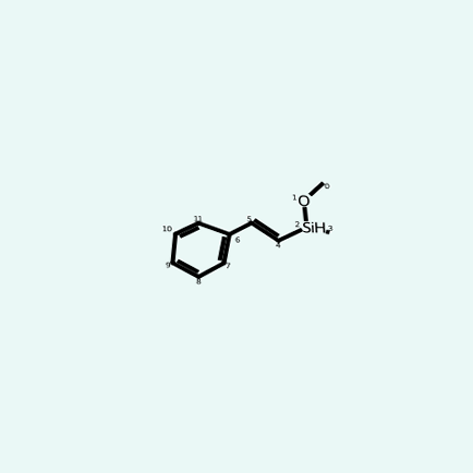 CO[SiH](C)C=Cc1ccccc1